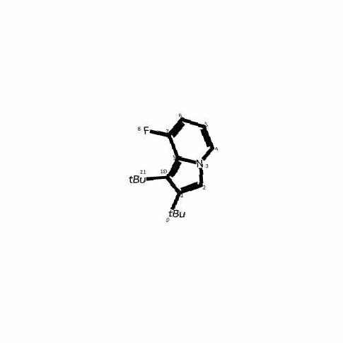 CC(C)(C)c1cn2cccc(F)c2c1C(C)(C)C